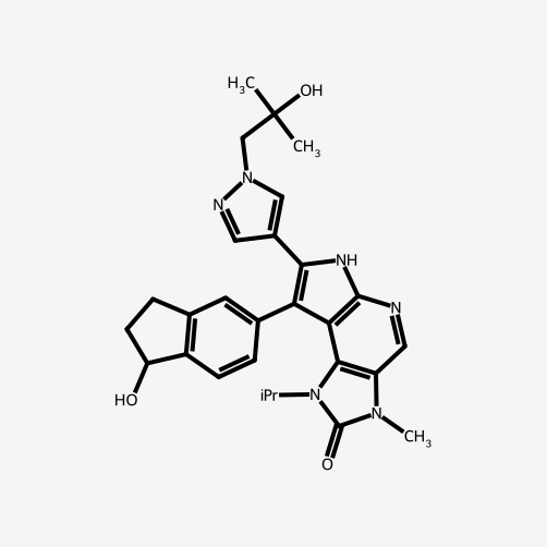 CC(C)n1c(=O)n(C)c2cnc3[nH]c(-c4cnn(CC(C)(C)O)c4)c(-c4ccc5c(c4)CCC5O)c3c21